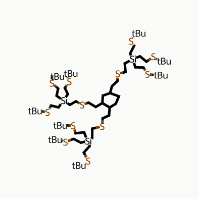 CC(C)(C)SCC[Si](CCSCCC1CCC(CCSCC[Si](CCSC(C)(C)C)(CCSC(C)(C)C)CCSC(C)(C)C)C(CCSCC[Si](CCSC(C)(C)C)(CCSC(C)(C)C)CCSC(C)(C)C)C1)(CCSC(C)(C)C)CCSC(C)(C)C